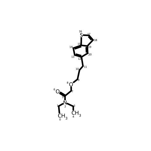 CCN(CC)C(=O)COCCCc1ccc2sccc2c1